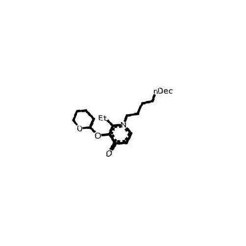 CCCCCCCCCCCCCCn1ccc(=O)c(OC2CCCCO2)c1CC